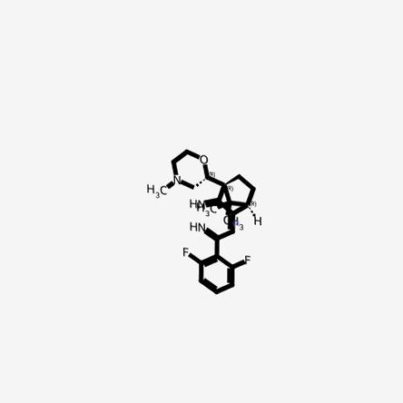 CN1CCO[C@H]([C@@]23CC[C@@H](/C(=C/C(=N)c4c(F)cccc4F)C2=N)C3(C)C)C1